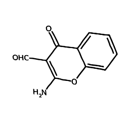 Nc1oc2ccccc2c(=O)c1C=O